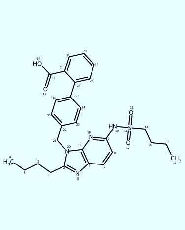 CCCCc1nc2ccc(NS(=O)(=O)CCCC)nc2n1Cc1ccc(-c2ccccc2C(=O)O)cc1